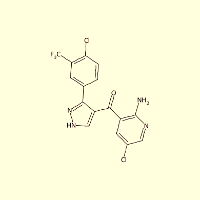 Nc1ncc(Cl)cc1C(=O)c1c[nH]nc1-c1ccc(Cl)c(C(F)(F)F)c1